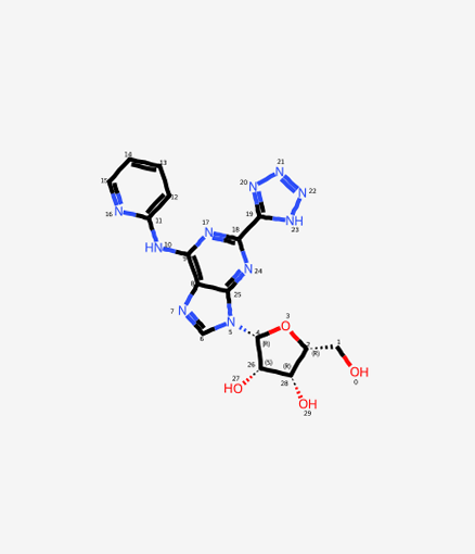 OC[C@H]1O[C@@H](n2cnc3c(Nc4ccccn4)nc(-c4nnn[nH]4)nc32)[C@@H](O)[C@H]1O